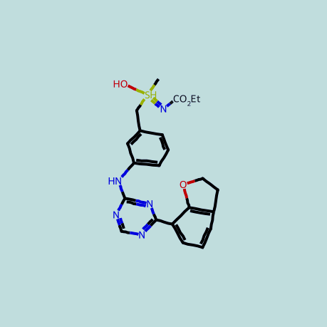 CCOC(=O)N=[SH](C)(O)Cc1cccc(Nc2ncnc(-c3cccc4c3OCC4)n2)c1